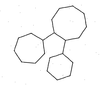 C1CCCC(C2CCCCC2)[C](C2CCCCCC2)CC1